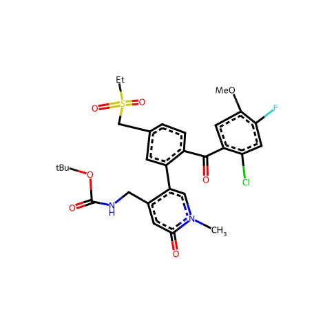 CCS(=O)(=O)Cc1ccc(C(=O)c2cc(OC)c(F)cc2Cl)c(-c2cn(C)c(=O)cc2CNC(=O)OC(C)(C)C)c1